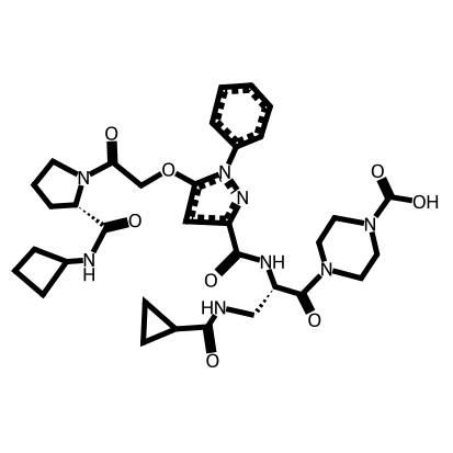 O=C(N[C@@H](CNC(=O)C1CC1)C(=O)N1CCN(C(=O)O)CC1)c1cc(OCC(=O)N2CCC[C@H]2C(=O)NC2CCC2)n(-c2ccccc2)n1